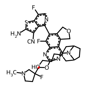 CN1CCC(F)(COc2nc(N3C4CCC3CN(CCCO)C4)c3c4c(c(-c5ncc(F)c6sc(N)c(C#N)c56)c(F)c3n2)COC4)C1